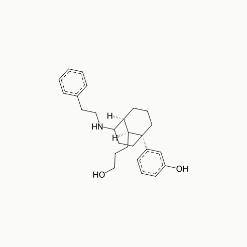 OCCC[C@H]1[C@@H]2CCC[C@@]1(c1cccc(O)c1)CCC2NCCc1ccccc1